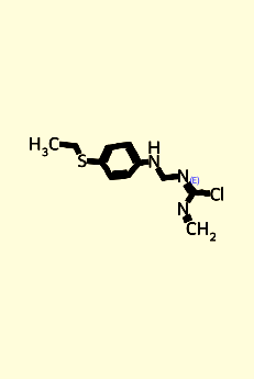 C=N/C(Cl)=N\CNc1ccc(SCC)cc1